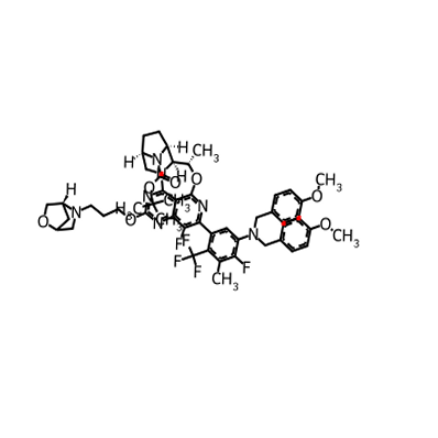 COc1ccc(CN(Cc2ccc(OC)cc2)c2cc(-c3nc4c5c(nc(OCCCN6CC7C[C@@H]6CO7)nc5c3F)N3C[C@H]5CC[C@@H]([C@H]3[C@H](C)O4)N5C(=O)OC(C)(C)C)c(C(F)(F)F)c(C)c2F)cc1